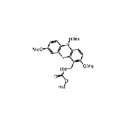 CCCCCCN1c2ccc(OC)[c]c2Sc2c1ccc(OC)c2CNC(=O)OC(C)(C)C